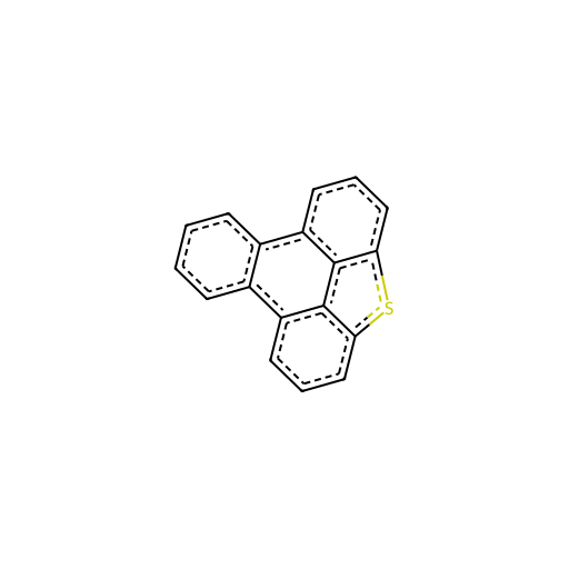 c1ccc2c(c1)c1cccc3sc4cccc2c4c31